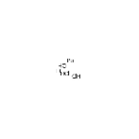 Cl.Cl.Cl.Cl.[Pu]